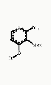 CCCCCCc1c(OCC)ccnc1N